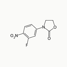 O=C1OCCN1c1ccc([N+](=O)[O-])c(F)c1